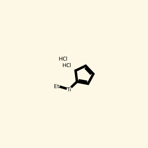 C[CH2][Ti][C]1=CC=CC1.Cl.Cl